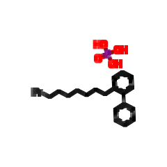 CC(C)CCCCCCCc1ccccc1-c1ccccc1.O=P(O)(O)O